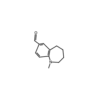 CN1CCCCc2cc(C=O)ccc21